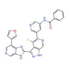 O=C(Nc1cncc(-c2ncc3[nH]nc(-c4nc5c(-c6ccoc6)cncc5[nH]4)c3c2F)c1)c1ccccc1